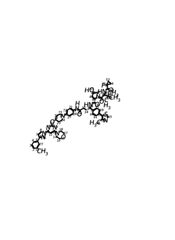 Cc1cccc(-c2ccn(-c3cc(N4CCOCC4)nc(OC4CCN(c5ccc(NC(=O)CC[C@H](NC(=O)[C@@H]6C[C@@H](O)CN6C(=O)[C@@H](NC(=O)C6(F)CC6)C(C)(C)C)c6ccc(-c7scnc7C)cc6)cc5)CC4)n3)n2)c1